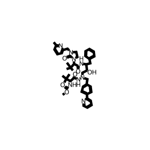 COC(=O)NC(C(=O)NN(Cc1ccc(-c2ccccn2)cc1)CC(O)C(Cc1ccccc1)NC(=O)C(N1CCN(Cc2cccc(C)n2)C1=O)C(C)(C)C)C(C)(C)C